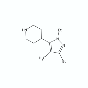 CCc1nn(CC)c(C2CCNCC2)c1C